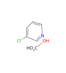 Clc1cccnc1.O=C(O)O